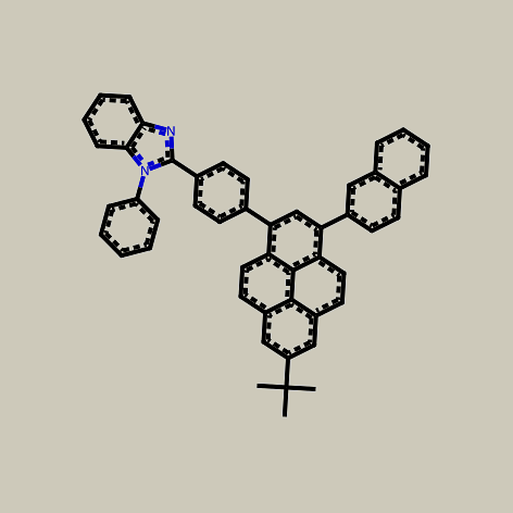 CC(C)(C)c1cc2ccc3c(-c4ccc(-c5nc6ccccc6n5-c5ccccc5)cc4)cc(-c4ccc5ccccc5c4)c4ccc(c1)c2c34